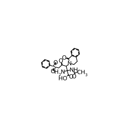 CC(=O)NC(N)(C(=O)O)C(C(=O)CS(=O)(=O)c1ccccc1)N1CCc2ccccc2C1=O